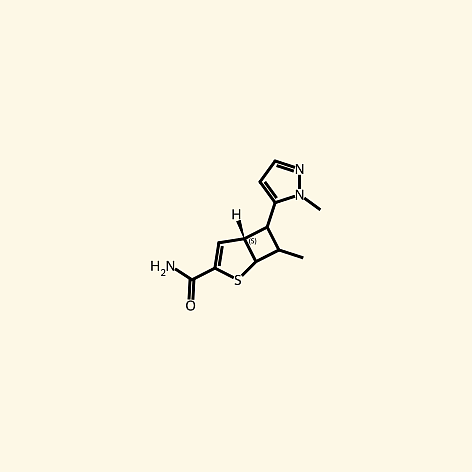 CC1C2SC(C(N)=O)=C[C@@H]2C1c1ccnn1C